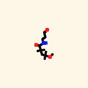 COC(C)(C)CC(C)(C)C(=O)NCCC=O